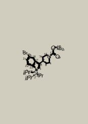 CC(C)[Si](C(C)C)(C(C)C)n1cc(C2CCN(C(=O)OC(C)(C)C)CC2)c2cc(Br)ccc21